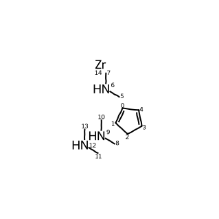 C1=CCC=C1.CNC.CNC.CNC.[Zr]